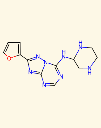 c1coc(-c2nc3ncnc(NC4CNCCN4)n3n2)c1